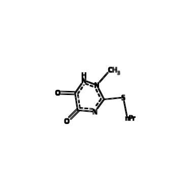 CCCSc1nc(=O)c(=O)[nH]n1C